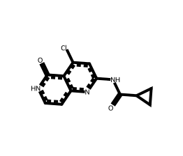 O=C(Nc1cc(Cl)c2c(=O)[nH]ccc2n1)C1CC1